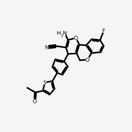 CC(=O)c1ccc(-c2ccc(C3C(C#N)=C(N)OC4=C3COc3ccc(F)cc34)cc2)s1